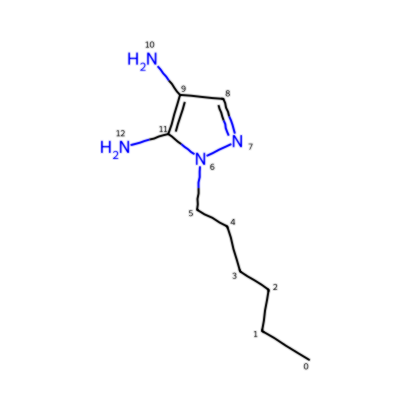 CCCCCCn1ncc(N)c1N